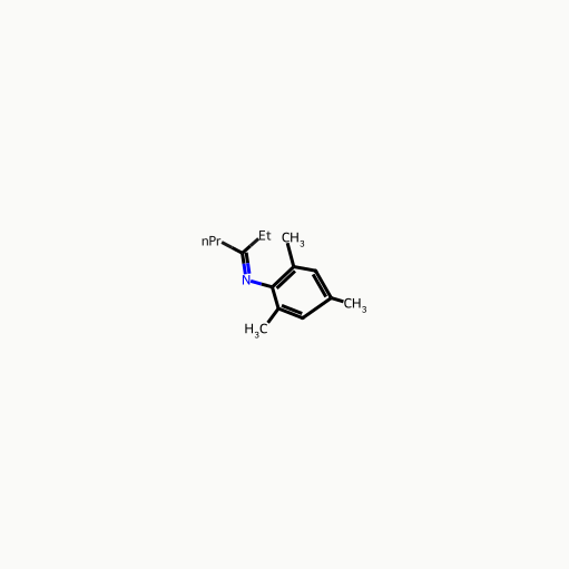 CCCC(CC)=Nc1c(C)cc(C)cc1C